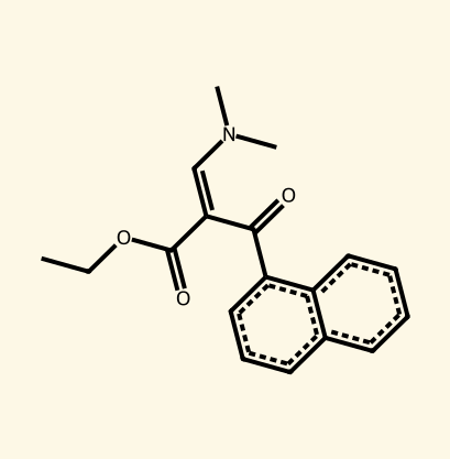 CCOC(=O)/C(=C/N(C)C)C(=O)c1cccc2ccccc12